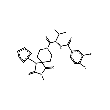 CC(C)[C@@H](NC(=O)c1ccc(Cl)c(Cl)c1)C(=O)N1CCC2(CC1)C(=O)N(C)C(=O)N2c1ccccc1